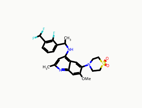 COc1cc2nc(C)cc(NC(C)c3cccc(C(F)F)c3F)c2cc1N1CCS(=O)(=O)CC1